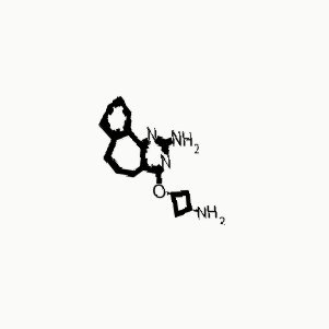 Nc1nc(O[C@H]2C[C@@H](N)C2)c2c(n1)-c1ccccc1CCC2